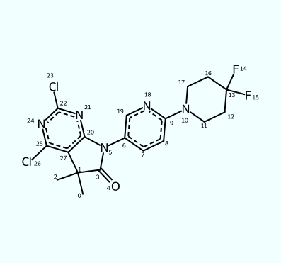 CC1(C)C(=O)N(c2ccc(N3CCC(F)(F)CC3)nc2)c2nc(Cl)nc(Cl)c21